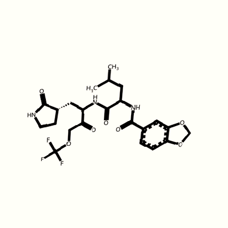 CC(C)CC(NC(=O)c1ccc2c(c1)OCO2)C(=O)NC(C[C@@H]1CCNC1=O)C(=O)COC(F)(F)F